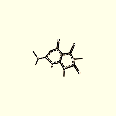 CN(C)c1cc(=O)c2c(=O)n(C)c(=O)n(C)c2[nH]1